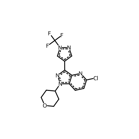 FC(F)(F)n1cc(-c2nn(C3CCOCC3)c3ccc(Cl)nc23)cn1